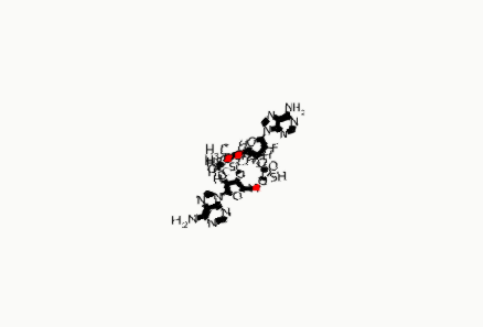 CC(C)(C)[Si](C)(C)OC1[C@H]2OP(=O)(S)OC[C@H]3O[C@@H](n4cnc5c(N)ncnc54)[C@H](F)[C@@H]3OP(=O)(S)OC[C@H]1O[C@H]2n1cnc2c(N)ncnc21